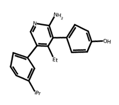 CCc1c(-c2cccc(C(C)C)c2)cnc(N)c1-c1ccc(O)cc1